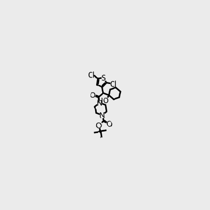 CC(C)(C)OC(=O)N1CCN(C(=O)C(c2cc(Cl)sc2Cl)C2(O)CCCCC2)CC1